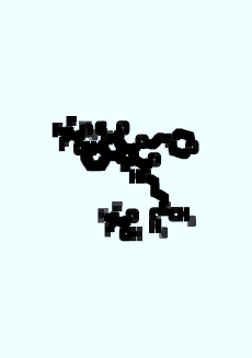 CN(C)CCCNC(=O)c1sc2c(c1OCCN1CCOCC1)c(=O)n(C)c1ccccc21.O=C(O)C(F)(F)F.O=C(O)C(F)(F)F